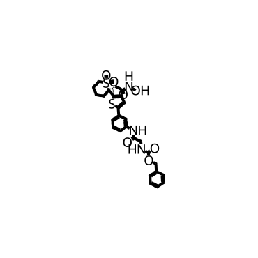 O=C(C[C@]1(c2ccc(-c3cccc(NC(=O)CNC(=O)OCc4ccccc4)c3)s2)CCCCS1(=O)=O)NO